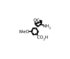 COc1cccc(C(=O)O)c1.Nc1cc2ccc1CO2